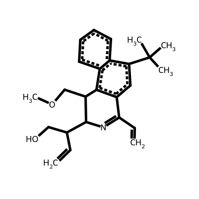 C=CC1=NC(C(C=C)CO)C(COC)c2c1cc(C(C)(C)C)c1ccccc21